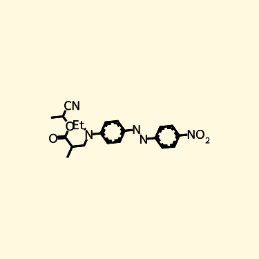 CCN(CC(C)C(=O)OC(C)C#N)c1ccc(N=Nc2ccc([N+](=O)[O-])cc2)cc1